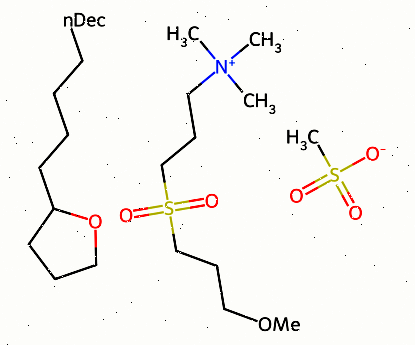 CCCCCCCCCCCCCCC1CCCO1.COCCCS(=O)(=O)CCC[N+](C)(C)C.CS(=O)(=O)[O-]